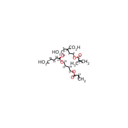 C=C(C)C(=O)OCCC(CC(=O)O)C(=O)O.C=CC(=O)OCCCCOC(=O)CCCC(=O)O